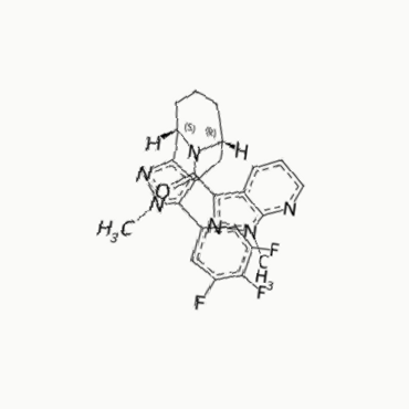 Cn1nc2c(c1-c1cc(F)c(F)c(F)c1)C[C@H]1CCC[C@@H]2N1C(=O)c1nn(C)c2ncccc12